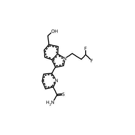 NC(=S)c1cccc(-c2cn(CCC(F)F)c3cc(CO)ccc23)n1